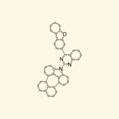 c1cc2c3c(cccc3c1)-c1cccc3c1c1c-2cccc1n3-c1nc(-c2ccc3c(c2)oc2ccccc23)c2ccccc2n1